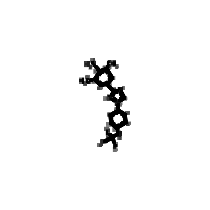 Cc1cc(-c2ncn(-c3ccc(OC(F)(F)F)cc3)n2)cc(C)c1N